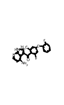 Cc1cc(Oc2ccccc2F)cc(F)c1C(=O)c1c[nH]c2nccc(N)c12